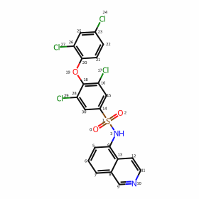 O=S(=O)(Nc1cccc2cnccc12)c1cc(Cl)c(Oc2ccc(Cl)cc2Cl)c(Cl)c1